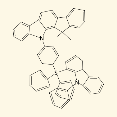 CC1(C)c2ccccc2-c2ccc3c4ccccc4n(C4=CCC([Si](c5ccccc5)(c5ccccc5)c5cccc6c7ccccc7n(-c7ccccc7)c56)C=C4)c3c21